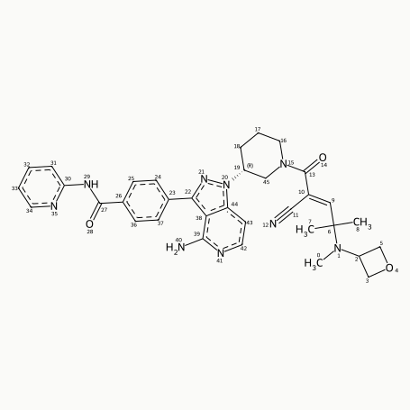 CN(C1COC1)C(C)(C)C=C(C#N)C(=O)N1CCC[C@@H](n2nc(-c3ccc(C(=O)Nc4ccccn4)cc3)c3c(N)nccc32)C1